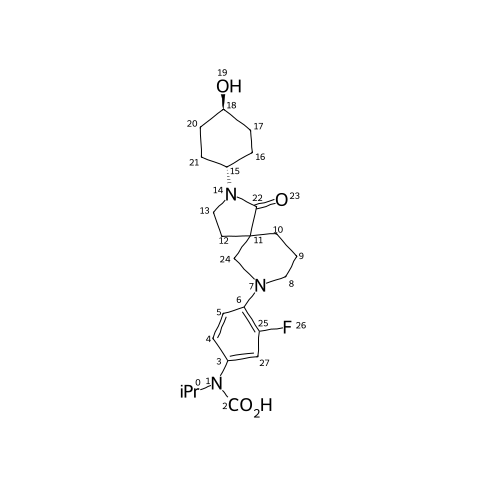 CC(C)N(C(=O)O)c1ccc(N2CCCC3(CCN([C@H]4CC[C@H](O)CC4)C3=O)C2)c(F)c1